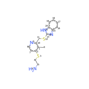 Cc1c(SCCN)ccnc1CSc1nc2ccccc2[nH]1